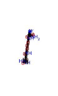 [N-]=[N+]=Cc1cc(C(N)=O)cc(C(=O)NCCCOCCOCCOCCCNC(=O)CCCC[C@@H]2SC[C@@H]3NC(=O)N[C@@H]32)c1